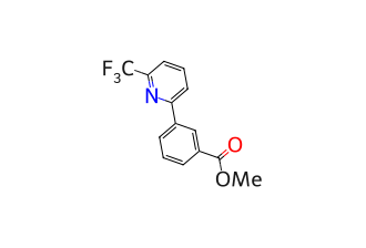 COC(=O)c1cccc(-c2cccc(C(F)(F)F)n2)c1